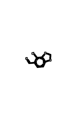 O=Cc1ccc2c(c1Cl)OCO2